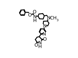 CN(CC1CCC(NC(=O)OCc2ccccc2)CC1)C1CCN(c2ccc(C3CCC(=O)NC3=O)nc2)CC1